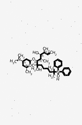 C=C[C@H](C)[C@@H](O)[C@H](C)[C@@H](O[C@H]1C[C@@H](N(C)C)C[C@@H](C)O1)[C@](C)(O)CCCCC(C)(C)[Si](O)(c1ccccc1)c1ccccc1